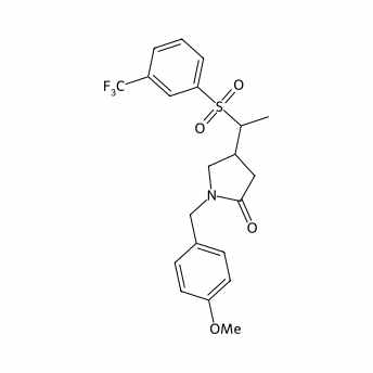 COc1ccc(CN2CC(C(C)S(=O)(=O)c3cccc(C(F)(F)F)c3)CC2=O)cc1